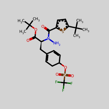 CC(C)(C)OC(=O)[C@H](CC1=CCC(OS(=O)(=O)C(F)(F)F)C=C1)N(N)C(=O)c1ccc(C(C)(C)C)s1